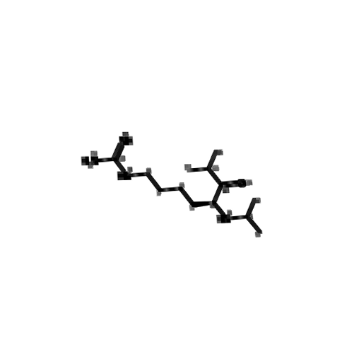 CC(C)N[C@@H](CCCCNC(=N)N)C(=O)C(C)C